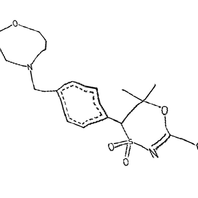 COC1=NS(=O)(=O)C(c2ccc(CN3CCOCC3)cc2)C(C)(C)O1